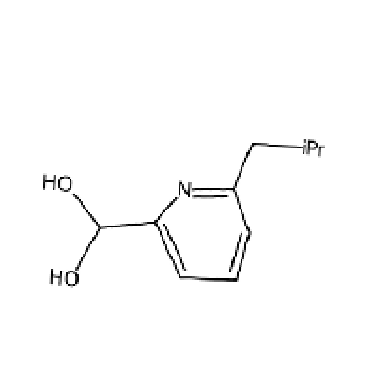 CC(C)Cc1cccc(C(O)O)n1